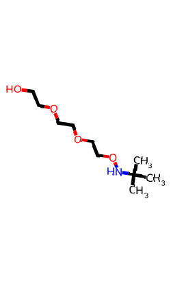 CC(C)(C)NOCCOCCOCCO